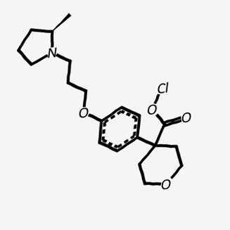 C[C@@H]1CCCN1CCCOc1ccc(C2(C(=O)OCl)CCOCC2)cc1